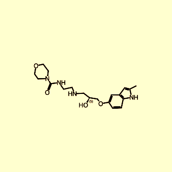 Cc1cc2cc(OC[C@@H](O)CNCCNC(=O)N3CCOCC3)ccc2[nH]1